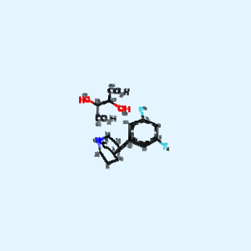 Fc1cc(F)cc(C2CN3CCC2CC3)c1.O=C(O)C(O)C(O)C(=O)O